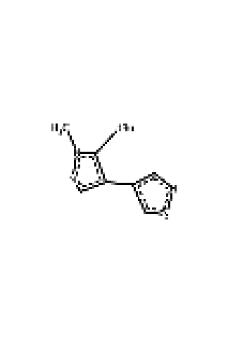 Cn1ncc(-c2cnsc2)c1C(C)(C)C